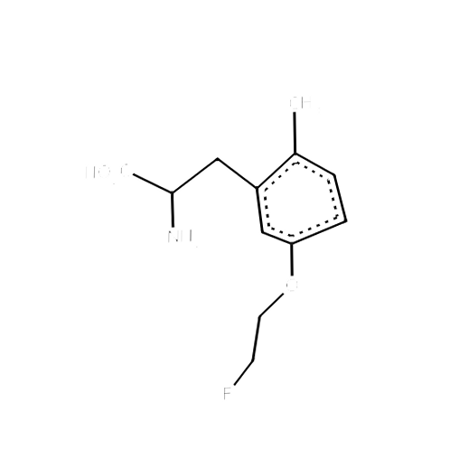 Cc1ccc(OCCF)cc1CC(N)C(=O)O